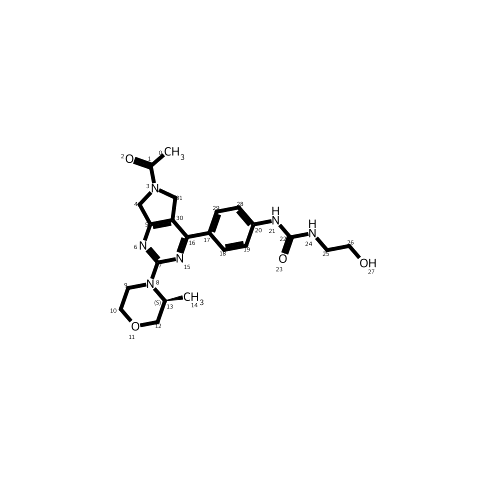 CC(=O)N1Cc2nc(N3CCOC[C@@H]3C)nc(-c3ccc(NC(=O)NCCO)cc3)c2C1